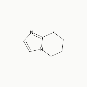 [C]1CCCn2ccnc21